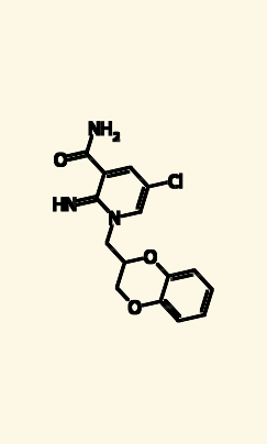 N=c1c(C(N)=O)cc(Cl)cn1CC1COc2ccccc2O1